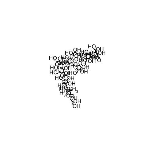 C[N+](C)(C)CC(=O)[O-].O=C[C@H](O)[C@@H](O)[C@H](O)[C@H](O)CO.OCC(O)CO.OC[C@H]1O[C@@](CO)(O[C@H]2O[C@H](CO)[C@@H](O)[C@H](O)[C@H]2O)[C@@H](O)[C@@H]1O.OC[C@H]1O[C@H](OC[C@H]2O[C@H](O[C@]3(CO)O[C@H](CO)[C@@H](O)[C@@H]3O)[C@H](O)[C@@H](O)[C@@H]2O)[C@H](O)[C@@H](O)[C@H]1O.OC[C@H]1O[C@](O)(CO)[C@@H](O)[C@@H]1O.O[C@H]1[C@H](O)[C@@H](O)[C@H](O)[C@@H](O)[C@H]1O